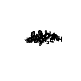 CN1NCC=C1c1ccc2c(c1)CN([C@@H](CC1CC1)CN1C(=O)c3ccccc3C1=O)C2=O